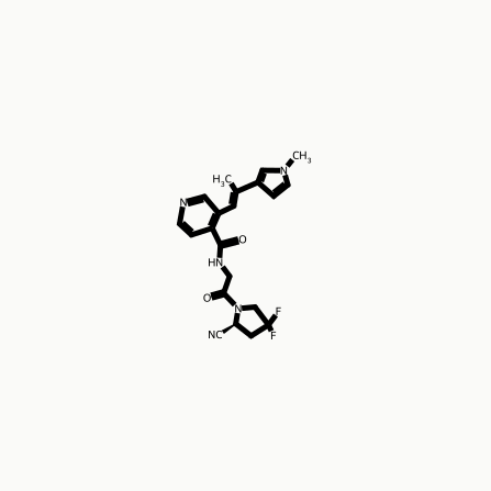 C/C(=C\c1cnccc1C(=O)NCC(=O)N1CC(F)(F)C[C@H]1C#N)c1ccn(C)c1